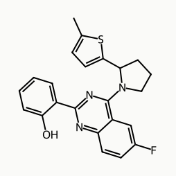 Cc1ccc(C2CCCN2c2nc(-c3ccccc3O)nc3ccc(F)cc23)s1